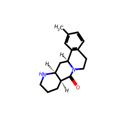 Cc1ccc2c(c1)[C@@H]1C[C@@H]3NCCC[C@@H]3C(=O)N1CC2